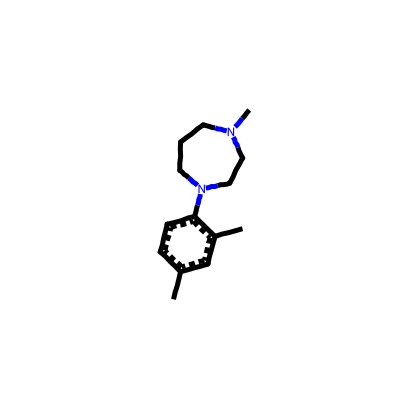 Cc1ccc(N2CCCN(C)CC2)c(C)c1